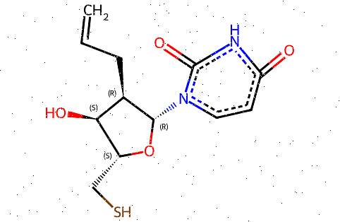 C=CC[C@@H]1[C@H](O)[C@@H](CS)O[C@H]1n1ccc(=O)[nH]c1=O